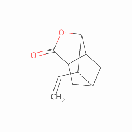 C=CC1C2CC3C(=O)OC1C3C2